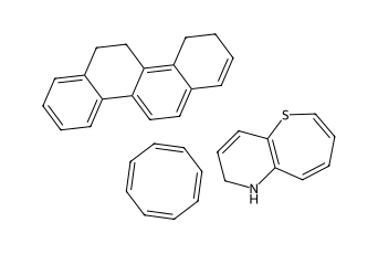 C1=CC=CC=CC=C1.C1=CSC2=C(C=C1)NCC=C2.C1=Cc2ccc3c(c2CC1)CCc1ccccc1-3